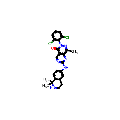 Cc1nn(-c2c(Cl)cccc2Cl)c(=O)c2cnc(Nc3ccc4c(c3)CCNC4(C)C)nc12